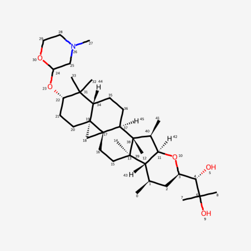 C[C@@H]1C[C@H]([C@H](O)C(C)(C)O)O[C@H]2[C@H]1[C@@]1(C)CC[C@@]34C[C@@]35CC[C@H](OC3CN(C)CCO3)C(C)(C)[C@@H]5CC[C@H]4[C@]1(C)[C@H]2C